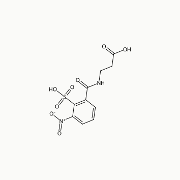 O=C(O)CCNC(=O)c1cccc([N+](=O)[O-])c1S(=O)(=O)O